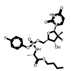 CCCCOC(=O)[C@H](C)NP(=O)(OC[C@H]1O[C@@H](n2ccc(=O)[nH]c2=O)[C@](C)(F)[C@@H]1O)Oc1ccc(F)cc1